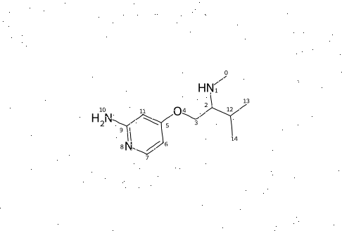 CNC(COc1ccnc(N)c1)C(C)C